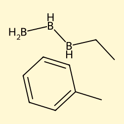 BBBCC.Cc1ccccc1